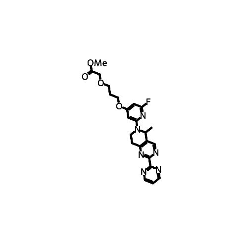 COC(=O)COCCCOc1cc(F)nc(N2CCc3nc(-c4ncccn4)ncc3C2C)c1